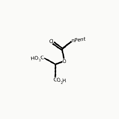 CCCCCC(=O)OC(C(=O)O)C(=O)O